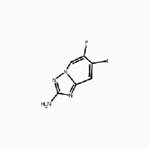 Nc1nc2cc(I)c(F)cn2n1